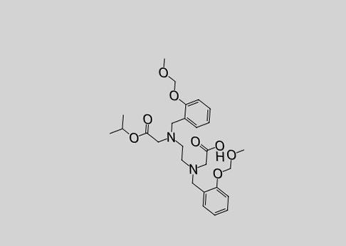 COCOc1ccccc1CN(CCN(CC(=O)OC(C)C)Cc1ccccc1OCOC)CC(=O)O